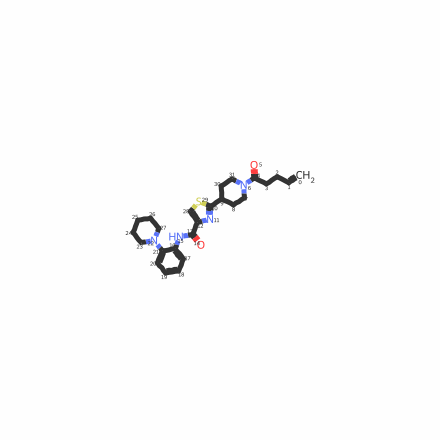 C=CCCC(=O)N1CCC(c2nc(C(=O)Nc3ccccc3N3CCCCC3)cs2)CC1